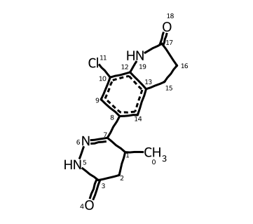 CC1CC(=O)NN=C1c1cc(Cl)c2c(c1)CCC(=O)N2